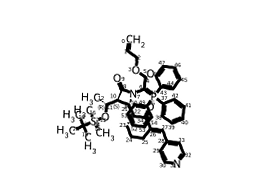 C=CCOC(=O)C(N1C(=O)[C@H]([C@@H](C)O[Si](C)(C)C(C)(C)C)[C@H]1[C@H]1CCCC(=Cc2ccncc2)C1=O)=P(c1ccccc1)(c1ccccc1)c1ccccc1